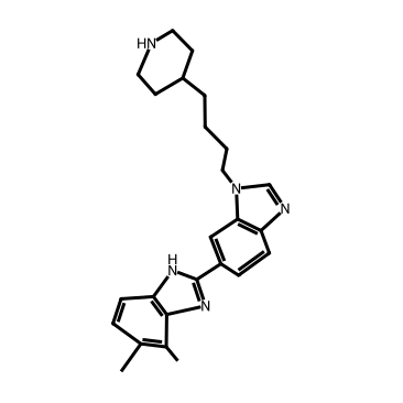 Cc1ccc2[nH]c(-c3ccc4ncn(CCCCC5CCNCC5)c4c3)nc2c1C